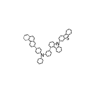 C1=Cc2ccc3cc(-c4ccc(N(c5ccccc5)c5cccc(-c6cccc7c6c6ccccc6n7-c6ccc7c(c6)sc6ccccc67)c5)cc4)ccc3c2CC1